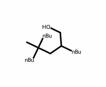 CCCCC(CO)CC(C)(CCCC)CCCC